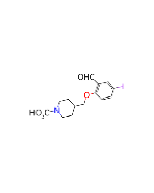 O=Cc1cc(I)ccc1OCC1CCN(C(=O)O)CC1